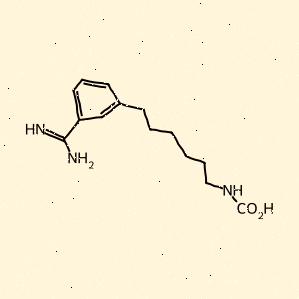 N=C(N)c1cccc(CCCCCCNC(=O)O)c1